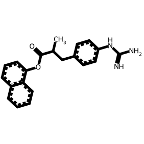 CC(Cc1ccc(NC(=N)N)cc1)C(=O)Oc1cccc2ccccc12